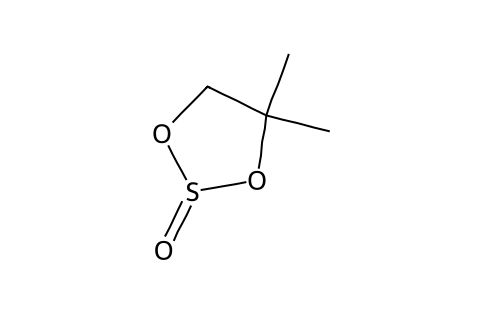 CC1(C)COS(=O)O1